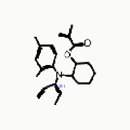 C=C/C(=C\C)N(c1ccc(C)cc1C)C1CCCCC1OC(=O)C(=C)C